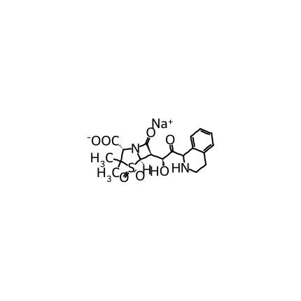 CC1(C)[C@H](C(=O)[O-])N2C(=O)[C@@H]([C@H](O)C(=O)C3NCCc4ccccc43)[C@H]2S1(=O)=O.[Na+]